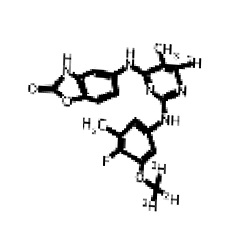 [2H]c1nc(Nc2cc(C)c(F)c(OC([2H])([2H])[2H])c2)nc(Nc2ccc3oc(=O)[nH]c3c2)c1C